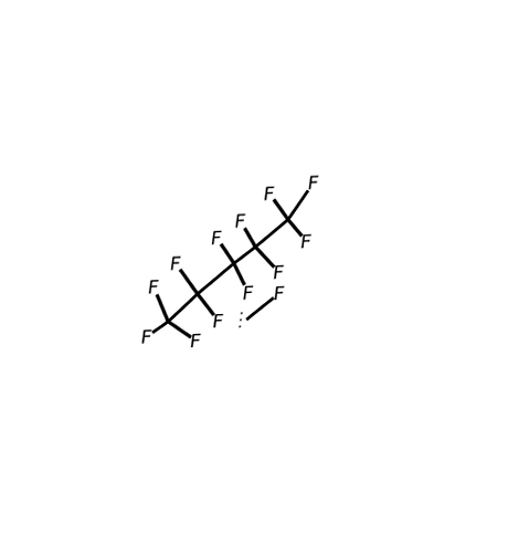 FC(F)(F)C(F)(F)C(F)(F)C(F)(F)C(F)(F)F.[C]F